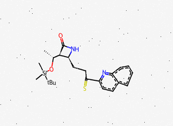 C[C@@H](O[Si](C)(C)C(C)(C)C)[C@H]1C(=O)N[C@H]1CCC(=S)c1ccc2ccccc2n1